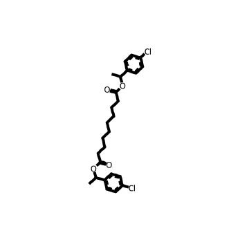 CC(OC(=O)CCCCCCCCC(=O)OC(C)c1ccc(Cl)cc1)c1ccc(Cl)cc1